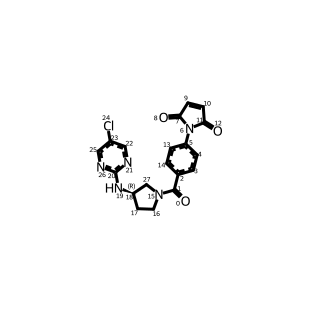 O=C(c1ccc(N2C(=O)C=CC2=O)cc1)N1CC[C@@H](Nc2ncc(Cl)cn2)C1